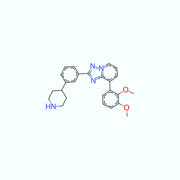 COc1cccc(-c2cccn3nc(-c4[c]ccc(C5CCNCC5)c4)nc23)c1OC